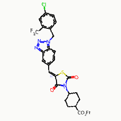 CCOC(=O)C1CCC(N2C(=O)S/C(=C\c3ccc4c(c3)nnn4Cc3ccc(Cl)cc3C(F)(F)F)C2=O)CC1